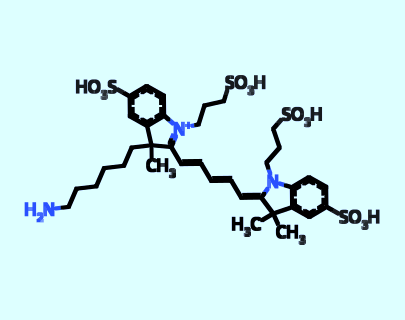 CC1(CCCCCCN)C(/C=C/C=C/C=C2\N(CCCS(=O)(=O)O)c3ccc(S(=O)(=O)O)cc3C2(C)C)=[N+](CCCS(=O)(=O)O)c2ccc(S(=O)(=O)O)cc21